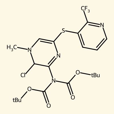 CN1C=C(Sc2cccnc2C(F)(F)F)N=C(N(C(=O)OC(C)(C)C)C(=O)OC(C)(C)C)C1Cl